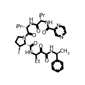 CCC(NC(=O)[C@@H]1[C@@H](I)CCN1C(=O)[C@@H](NC(=O)[C@@H](NC(=O)c1cnccn1)C(C)C)C(C)C)C(=O)C(=O)N[C@@H](C)c1ccccc1